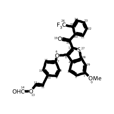 COc1ccc2c(Oc3ccc(/C=C/OC=O)cc3)c(C(=O)c3ccccc3C(F)(F)F)sc2c1